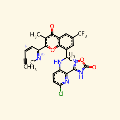 C#C/C=C\C(=N/C)c1oc2c(C(C)Nc3ccc(Cl)nc3-c3noc(=O)[nH]3)cc(C(F)(F)F)cc2c(=O)c1C